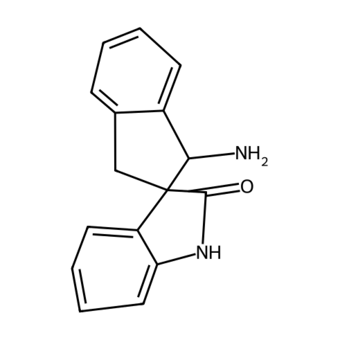 NC1c2ccccc2CC12C(=O)Nc1ccccc12